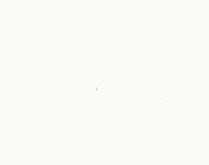 CCNCc1cccc(-c2cnc(-c3ccc(Cl)c(Cl)c3)[nH]2)c1.Cl